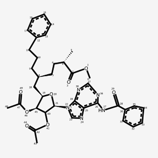 COC(=O)[C@@H](C)CC[C@H](CCCc1ccccc1)C[C@H]1O[C@@H](n2cnc3c(NC(=O)c4ccccc4)ncnc32)C(OC(C)=O)[C@H]1OC(C)=O